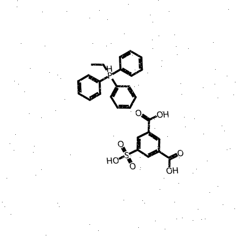 CC[PH](c1ccccc1)(c1ccccc1)c1ccccc1.O=C(O)c1cc(C(=O)O)cc(S(=O)(=O)O)c1